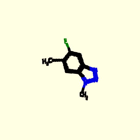 Cc1cc2c(cc1F)nnn2C